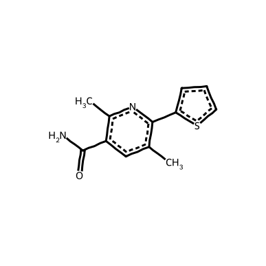 Cc1cc(C(N)=O)c(C)nc1-c1cccs1